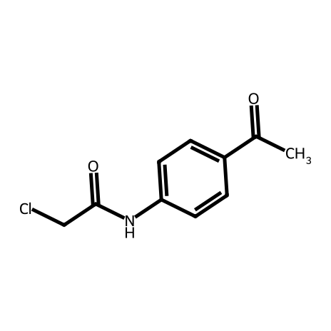 CC(=O)c1ccc(NC(=O)CCl)cc1